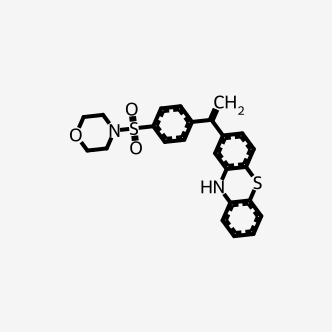 C=C(c1ccc(S(=O)(=O)N2CCOCC2)cc1)c1ccc2c(c1)Nc1ccccc1S2